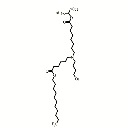 CCCCCCCCC(CCCCCC)OC(=O)CCCCCCCN(CCCCO)CCCCCC(=O)OCCCCCCCCCCC(F)(F)F